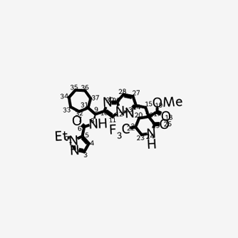 CCn1nccc1C(=O)N[C@H](c1cn2nc(CC3(C(=O)OC)CC(C(F)(F)F)CNC3=O)ccc2n1)C1CCCCCC1